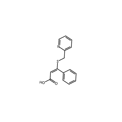 O=C(O)C=C(SCc1ccccn1)c1ccccc1